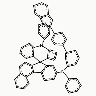 c1ccc(N(c2cccc(-c3ccc(-c4cc5ccccc5o4)cc3)c2)c2ccc3c(c2)C2(c4ccccc4N(c4ccccc4)c4ccccc42)c2ccc4ccccc4c2-3)cc1